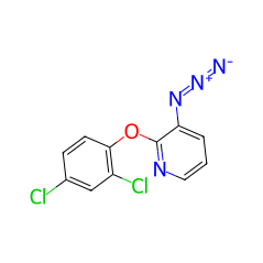 [N-]=[N+]=Nc1cccnc1Oc1ccc(Cl)cc1Cl